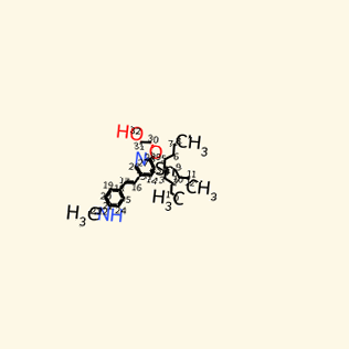 CCC[CH2][Sn]([CH2]CCC)([CH2]CCC)[c]1cc(C=Cc2ccc(NC)cc2)cnc1OCCO